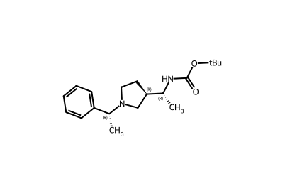 C[C@H](c1ccccc1)N1CC[C@@H]([C@@H](C)NC(=O)OC(C)(C)C)C1